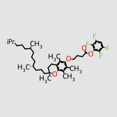 Cc1c(C)c2c(c(C)c1OCCCC(=O)Oc1c(F)c(F)cc(F)c1F)CC[C@@](C)(CCC[C@H](C)CCC[C@H](C)CCCC(C)C)O2